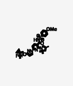 COc1ccc(S(=O)(=O)NC(=O)c2ccc(-n3ccc(OCC4(C(C)(F)F)CC4)n3)nc2N2C[C@@H](C)CC2(C)C)cc1